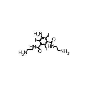 NCCNC(=O)c1c(I)c(N)c(I)c(C(=O)NCCN)c1I